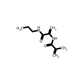 C=C(C)C(=O)NC(=C)C(=O)NCCC